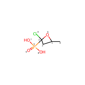 CC1CC(Cl)(P(=O)(O)O)O1